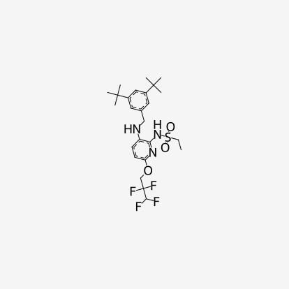 CCS(=O)(=O)Nc1nc(OCC(F)(F)C(F)F)ccc1NCc1cc(C(C)(C)C)cc(C(C)(C)C)c1